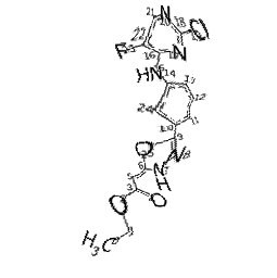 CCOC(=O)/C=C1\NN=C(c2cccc(Nc3nc(Cl)ncc3F)c2)O1